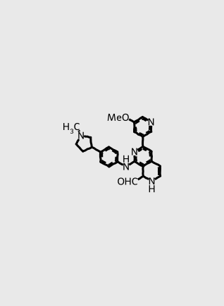 COc1cncc(-c2cc3c(c(Nc4ccc(C5CCN(C)C5)cc4)n2)C(C=O)NC=C3)c1